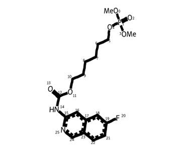 COP(=O)(OC)OCCCCCCOC(=O)Nc1cc2cc(F)ccc2cn1